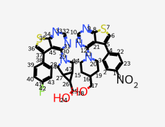 O=[N+]([O-])c1ccc(-c2csc3ncnc(N4CCC(CO)CC4)c23)cc1.OCC1C2CN(c3ncnc4scc(-c5ccc(F)cc5)c34)CC12